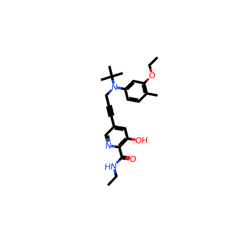 CCNC(=O)c1ncc(C#CCN(c2ccc(C)c(OCC)c2)C(C)(C)C)cc1O